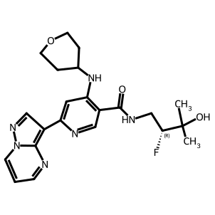 CC(C)(O)[C@H](F)CNC(=O)c1cnc(-c2cnn3cccnc23)cc1NC1CCOCC1